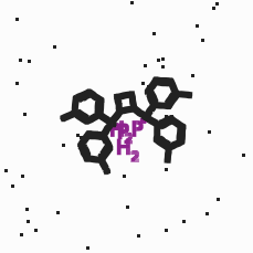 Cc1cccc(C(P)(c2cccc(C)c2)C2CCC2C(P)(c2cccc(C)c2)c2cccc(C)c2)c1